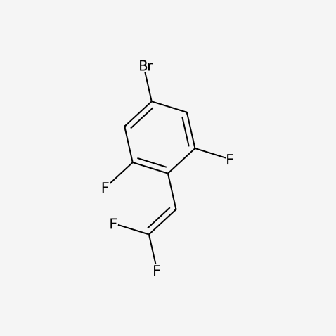 FC(F)=Cc1c(F)cc(Br)cc1F